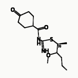 CCCC(OC)[C@H](C)SC(=N)NC(=O)C1CCC(=O)CC1